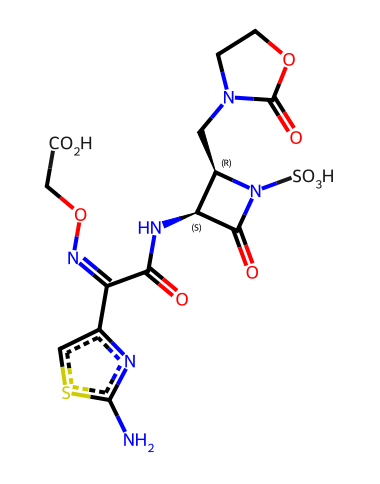 Nc1nc(C(=NOCC(=O)O)C(=O)N[C@@H]2C(=O)N(S(=O)(=O)O)[C@@H]2CN2CCOC2=O)cs1